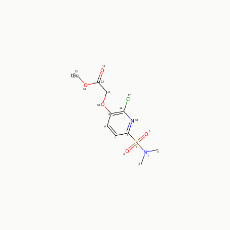 CN(C)S(=O)(=O)c1ccc(OCC(=O)OC(C)(C)C)c(Cl)n1